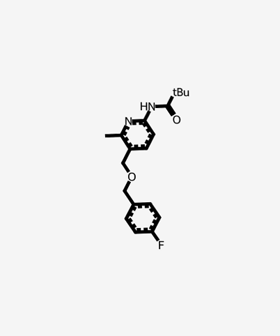 Cc1nc(NC(=O)C(C)(C)C)ccc1COCc1ccc(F)cc1